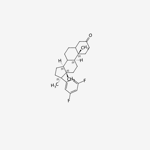 C[C@]12CCC(=O)CC1CCC1[C@@H]2CC[C@@]2(C)[C@H]1CC[C@]2(C)c1cc(F)cc(F)c1